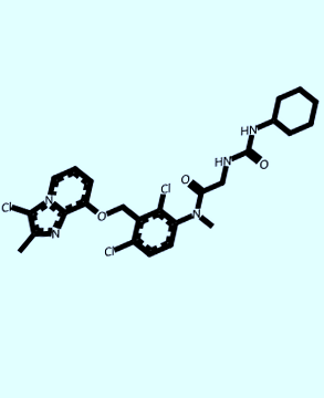 Cc1nc2c(OCc3c(Cl)ccc(N(C)C(=O)CNC(=O)NC4CCCCC4)c3Cl)cccn2c1Cl